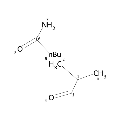 CC(C)[C]=O.CCCCC(N)=O